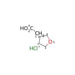 C1CCOC1.CC(=O)O.Cl